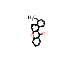 Cc1cccc2c1ccc1oc3ccccc3c(=O)c12